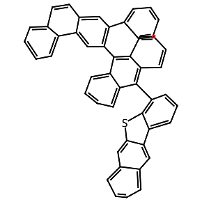 c1ccc(-c2cc3ccc4ccccc4c3cc2-c2c3ccccc3c(-c3cccc4c3sc3cc5ccccc5cc34)c3ccccc23)cc1